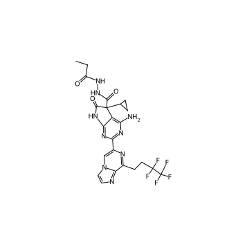 CCC(=O)NNC(=O)C1(C2CC2)C(=O)Nc2nc(-c3cn4ccnc4c(CCC(F)(F)C(F)(F)F)n3)nc(N)c21